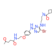 CC(=O)CCC(=O)NCCOc1ccc(Nc2ncc(Br)c(NCCCN(C)C(=O)C3CCC3)n2)cc1